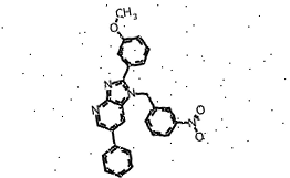 COc1cccc(-c2nc3ncc(-c4ccccc4)cc3n2Cc2cccc([N+](=O)[O-])c2)c1